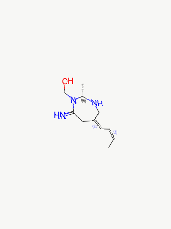 C/C=C\C=C1/CN[C@@H](C)N(CO)C(=N)C1